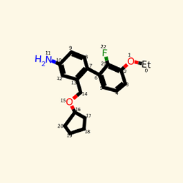 CCOc1cccc(-c2ccc(N)cc2COC2CCCC2)c1F